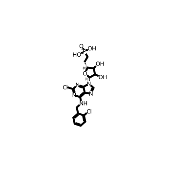 O=P(O)(O)CC[C@H]1O[C@@H](n2cnc3c(NCc4ccccc4Cl)nc(Cl)nc32)C(O)C1O